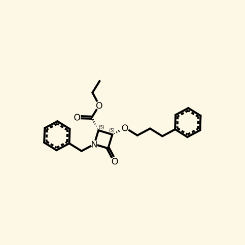 CCOC(=O)[C@@H]1[C@H](OCCCc2ccccc2)C(=O)N1Cc1ccccc1